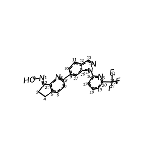 ON=C1CCc2ccc(-c3ccc4cnn(-c5cccc(C(F)(F)F)n5)c4c3)nc21